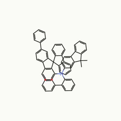 CC1(C)c2ccccc2-c2ccc(N(c3ccccc3-c3ccccc3)c3cccc4c3C3(c5ccccc5-c5ccccc53)c3cc(-c5ccccc5)ccc3-4)cc21